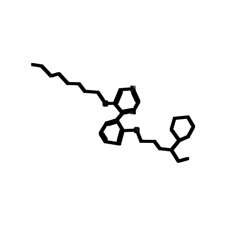 CCCCCCCCOc1cncnc1-c1ccccc1OCCCC(CC)C1CCCCC1